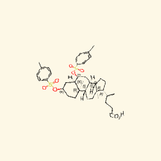 Cc1ccc(S(=O)(=O)O[C@@H]2CC[C@]3(C)[C@H]4CC[C@]5(C)[C@@H](C(C)CCC(=O)O)CC[C@H]5[C@@H]4C[C@H](OS(=O)(=O)c4ccc(C)cc4)[C@@H]3C2)cc1